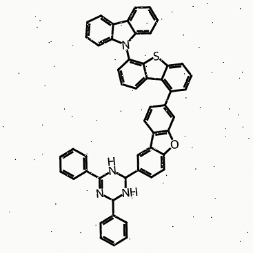 c1ccc(C2=NC(c3ccccc3)NC(c3ccc4oc5cc(-c6cccc7sc8c(-n9c%10ccccc%10c%10ccccc%109)cccc8c67)ccc5c4c3)N2)cc1